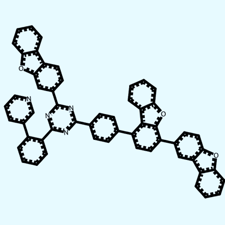 c1cncc(-c2ccccc2-c2nc(-c3ccc(-c4ccc(-c5ccc6oc7ccccc7c6c5)c5oc6ccccc6c45)cc3)nc(-c3ccc4c(c3)oc3ccccc34)n2)c1